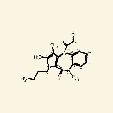 CCCCn1c(C)c(C)c2c1C(=O)N(C)c1ccccc1N2C(=O)CCl